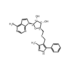 Cc1n[nH]c(-c2ccccc2)c1CSC[C@H]1O[C@@H](n2ccc3c(N)ncnc32)[C@H](O)[C@@H]1O